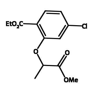 CCOC(=O)c1ccc(Cl)cc1OC(C)C(=O)OC